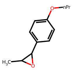 CCCOc1ccc(C2OC2C)cc1